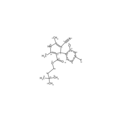 CC1=C(C#N)C(c2ccc(F)cc2Cl)C(C(=O)OCCC(C)(C)C)=C(C)N1